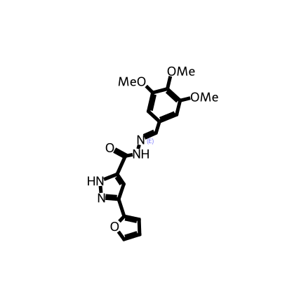 COc1cc(/C=N/NC(=O)c2cc(-c3ccco3)n[nH]2)cc(OC)c1OC